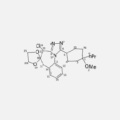 CCCC1(OC)CCC(c2nnc3n2-c2ccccc2CC2(OCCO2)C3Cl)CC1